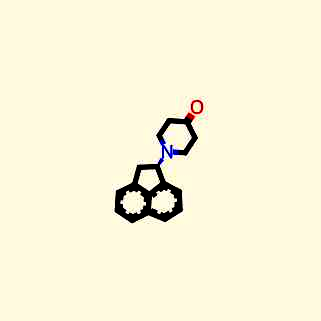 O=C1CCN([C@@H]2Cc3cccc4cccc2c34)CC1